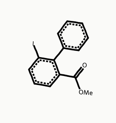 COC(=O)c1cccc(I)c1-c1ccccc1